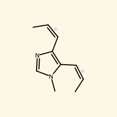 C/C=C\c1ncn(C)c1/C=C\C